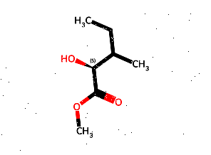 CCC(C)[C@H](O)C(=O)OC